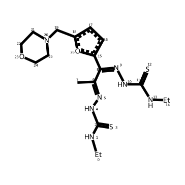 CCNC(=S)N/N=C(C)/C(=N\NC(=S)NCC)c1ccc(CN2CCOCC2)o1